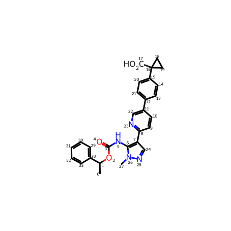 CC(OC(=O)Nc1c(-c2ccc(-c3ccc(C4(C(=O)O)CC4)cc3)cn2)cnn1C)c1ccccc1